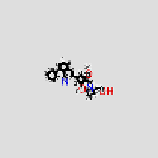 COc1cc(C=Cc2cccc(-c3ccccc3)c2C#N)cc(OC)c1CN1CCCC1CO